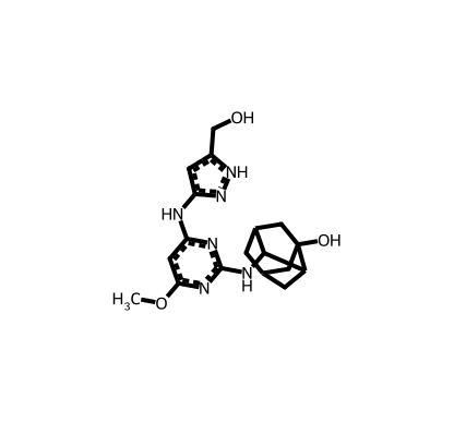 COc1cc(Nc2cc(CO)[nH]n2)nc(NC2C3CC4CC2C(O)(C4)C3)n1